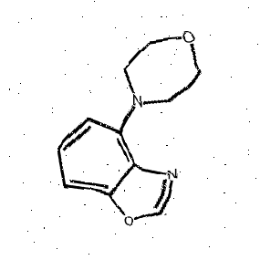 [c]1nc2c(N3CCOCC3)cccc2o1